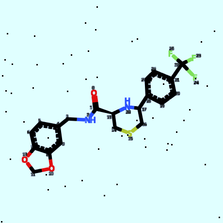 O=C(NCc1ccc2c(c1)OCO2)[C@@H]1[CH]SCC(c2ccc(C(F)(F)F)cc2)N1